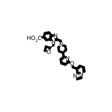 O=C(O)c1ccc2nc(CN3CCC(c4cccc(OCc5cccn6ccnc56)n4)CC3)n(C[C@@H]3CCO3)c2c1